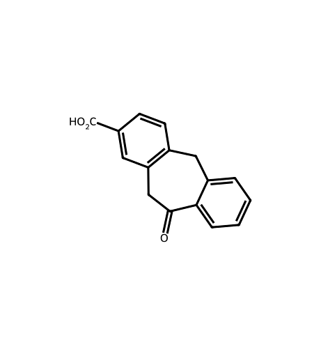 O=C(O)c1ccc2c(c1)CC(=O)c1ccccc1C2